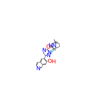 C[C@@]12CCC(N1)[C@H](F)[C@@H](Oc1ncc(-c3cc4ccncc4cc3O)nn1)C2